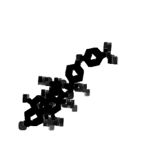 CCNc1ccc(Sc2ccc([C@]3(C)O[C@@H]4C[C@H]5[C@@H]6C[C@H](F)C7=CC(=O)C=C[C@]7(C)[C@@]6(F)[C@@H](O)C[C@]5(C)[C@]4(C(=O)CO)O3)cc2)cc1